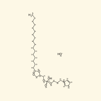 CCCCCCCCCCCCCCCCCC1OCC(COP(=O)(O)OCCC[n+]2ccsc2)O1.[OH-]